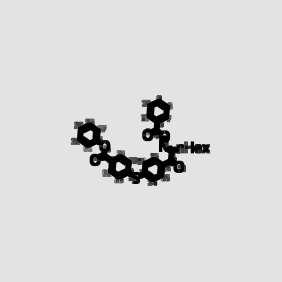 CCCCCC/C(=N\OC(=O)c1ccccc1)C(=O)c1ccc(Sc2ccc(C(=O)Oc3ccccc3)cc2)cc1